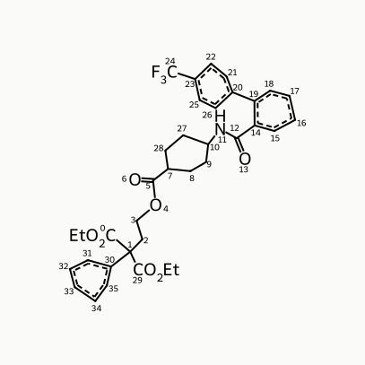 CCOC(=O)C(CCOC(=O)C1CCC(NC(=O)c2ccccc2-c2ccc(C(F)(F)F)cc2)CC1)(C(=O)OCC)c1ccccc1